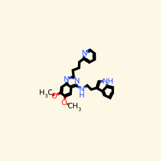 COc1cc2nc(CCCc3ccccn3)nc(NCCc3c[nH]c4ccccc34)c2cc1OC